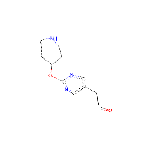 O=CCc1cnc(OC2CCNCC2)nc1